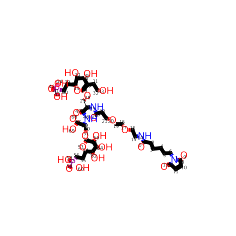 O=C(CCCCCN1C(=O)C=CC1=O)NCCOCCOCCC(=O)N[C@@H](COC1=C(CCO)C(O)[C@H](O)C(CCP(=O)(O)O)O1)C(=O)N[C@@H](COC1OC(CCP(=O)(O)O)C(O)C(O)C1O)C(=O)O